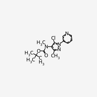 Cc1nn(-c2cccnc2)c(Cl)c1N(C)C(=O)OC(C)(C)C